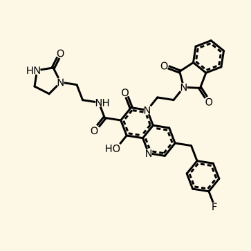 O=C(NCCN1CCNC1=O)c1c(O)c2ncc(Cc3ccc(F)cc3)cc2n(CCN2C(=O)c3ccccc3C2=O)c1=O